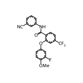 COc1ccc(Oc2cc(C(F)(F)F)ccc2C(=O)Nc2cccc(C#N)c2)cc1F